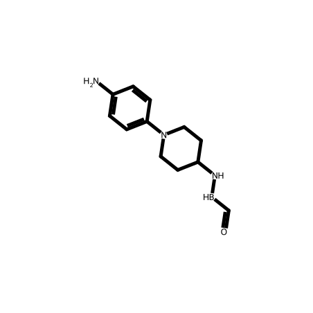 Nc1ccc(N2CCC(NBC=O)CC2)cc1